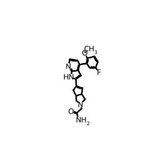 COc1ccc(F)cc1-c1ccnc2[nH]c(C3=CC4CN(CC(N)=O)CC4C3)cc12